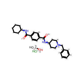 Cl.O=C(NC1CCCCC1)c1ccc(C(=O)NC2CCN(Cc3ccccc3)CC2)cc1.O=C(O)O